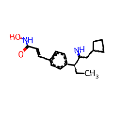 CC[C@H](C(=N)CC1CCC1)c1ccc(/C=C/C(=O)NO)cc1